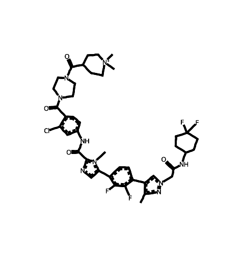 Cc1nn(CC(=O)NC2CCC(F)(F)CC2)cc1-c1ccc(-c2cnc(C(=O)Nc3ccc(C(=O)N4CCN(C(=O)C5CC[N+](C)(C)CC5)CC4)c(Cl)c3)n2C)c(F)c1F